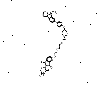 Cn1c2ccncc2c2ccc(-c3ccc(OC4CCN(CCOCCOCCOc5ccc6c(c5)C(=O)N(C5CCC(=O)NC5=O)C6=O)CC4)nc3)cc21